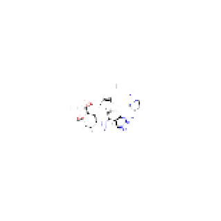 CO[C@@H]1[C@H](N(C(=O)O)C(c2cnn(C[C@@H]3CCN(C)C3)c2)C(C)C)CC[C@]2(CO2)[C@H]1[C@@]1(C)O[C@@H]1CC=C(C)C